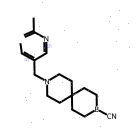 C=C(C)/N=C\C(=C/C)CN1CCC2(CCB(C#N)CC2)CC1